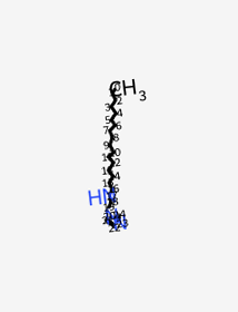 CCCCCCCCCCCCCCCCCNCCn1ccnc1